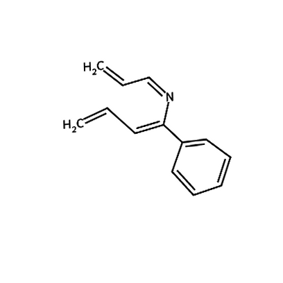 C=C/C=N\C(=C/C=C)c1ccccc1